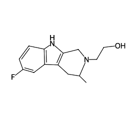 CC1Cc2c([nH]c3ccc(F)cc23)CN1CCO